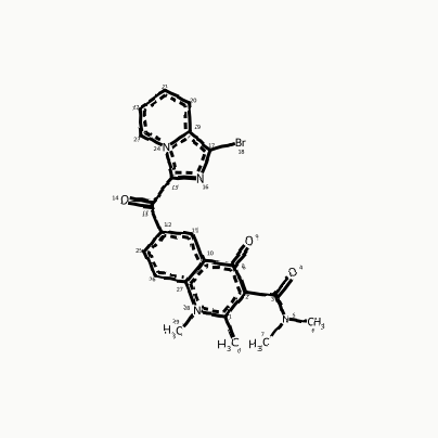 Cc1c(C(=O)N(C)C)c(=O)c2cc(C(=O)c3nc(Br)c4ccccn34)ccc2n1C